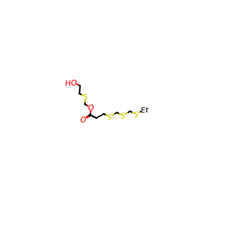 CCSCSCSCCC(=O)OCSCCO